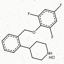 Cl.Fc1cc(F)c(OCc2ccccc2C2CCNCC2)c(F)c1